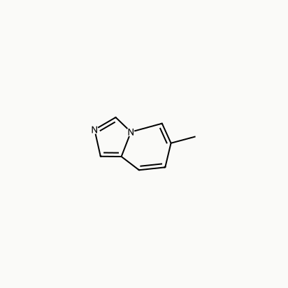 Cc1ccc2cncn2c1